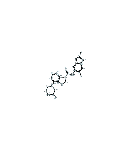 Cc1cn2cc(NC(=O)N3CCc4c(N5CCN[C@H](C)C5)ccnc43)c(C)cc2n1